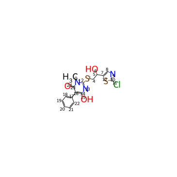 Cn1c(SCC(O)c2cnc(Cl)s2)nc(O)c(-c2ccccc2)c1=O